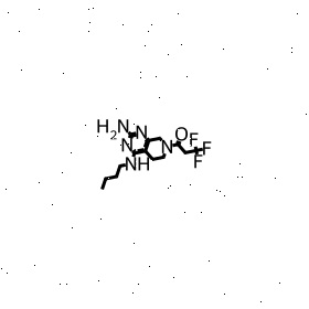 CCCCNc1nc(N)nc2c1CCN(C(=O)CC(F)(F)F)C2